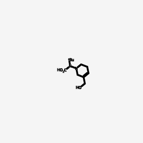 CC(C)(C)N(C(=O)O)N1CCC=C(CO)C1